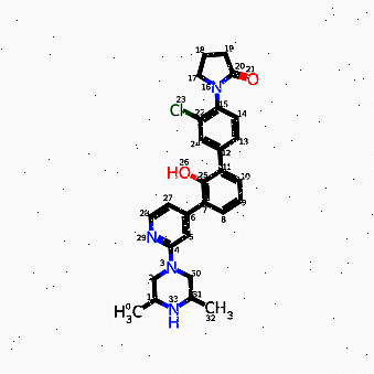 CC1CN(c2cc(-c3cccc(-c4ccc(N5CCCC5=O)c(Cl)c4)c3O)ccn2)CC(C)N1